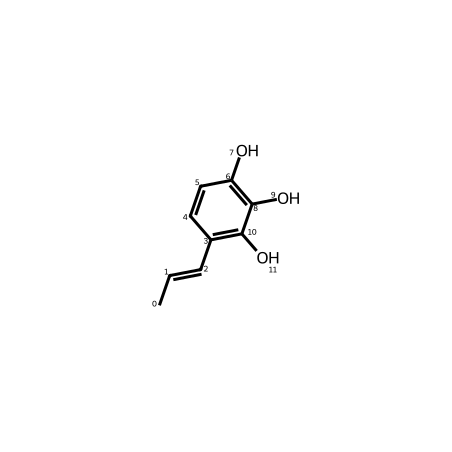 CC=Cc1ccc(O)c(O)c1O